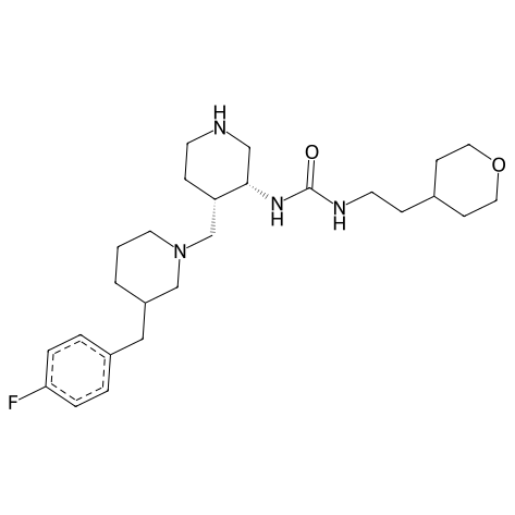 O=C(NCCC1CCOCC1)N[C@H]1CNCC[C@H]1CN1CCCC(Cc2ccc(F)cc2)C1